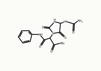 CC(C)(C)C(=O)C(C(=O)Nc1ccccc1)N1C(=O)NC(NC(N)=O)C1=O